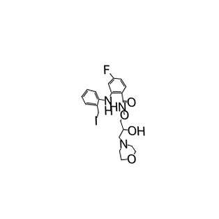 O=C(NOCC(O)CN1CCOCC1)c1ccc(F)cc1Nc1ccccc1CI